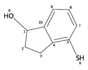 OC1CCc2c(S)cccc21